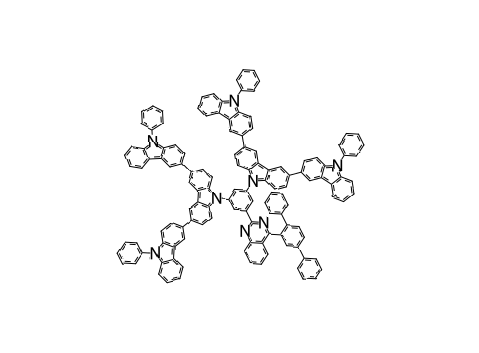 c1ccc(-c2ccc(-c3ccccc3)c(-c3nc(-c4cc(-n5c6ccc(-c7ccc8c(c7)c7ccccc7n8-c7ccccc7)cc6c6cc(-c7ccc8c(c7)c7ccccc7n8-c7ccccc7)ccc65)cc(-n5c6ccc(-c7ccc8c(c7)c7ccccc7n8-c7ccccc7)cc6c6cc(-c7ccc8c(c7)c7ccccc7n8-c7ccccc7)ccc65)c4)nc4ccccc34)c2)cc1